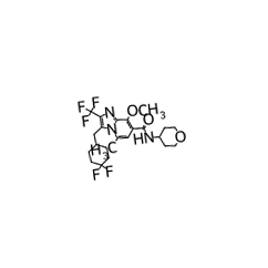 COc1c(C(=O)NC2CCOCC2)cc(C)n2c(CC3CCC(F)(F)CC3)c(C(F)(F)F)nc12